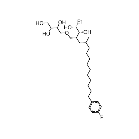 CC[C@@H](O)[C@@H](O)[C@H](COC[C@H](O)[C@@H](O)CO)CC(C)CCCCCCCCCCc1ccc(F)cc1